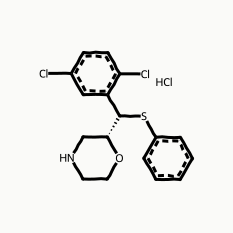 Cl.Clc1ccc(Cl)c(C(Sc2ccccc2)[C@H]2CNCCO2)c1